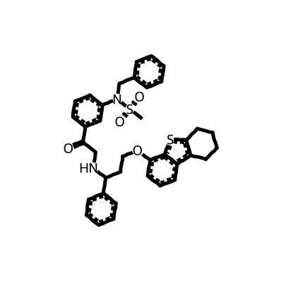 CS(=O)(=O)N(Cc1ccccc1)c1cccc(C(=O)CNC(CCOc2cccc3c4c(sc23)CCCC4)c2ccccc2)c1